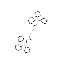 O=C(CC[PH](c1ccccc1)(c1ccccc1)c1ccccc1)NCCNC(=O)C[PH](c1ccccc1)(c1ccccc1)c1ccccc1